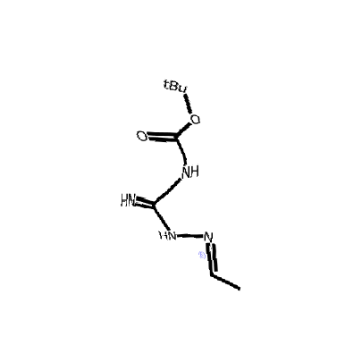 C/C=N/NC(=N)NC(=O)OC(C)(C)C